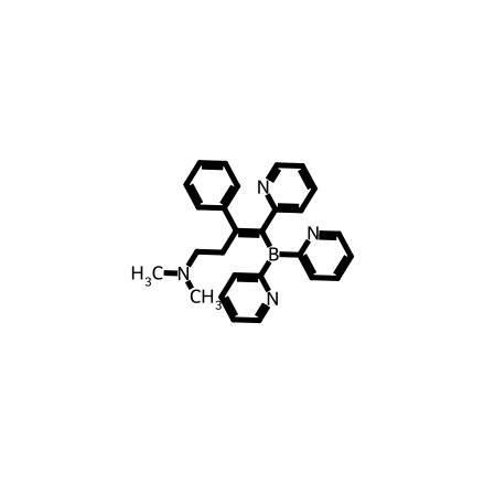 CN(C)CC/C(=C(\B(c1ccccn1)c1ccccn1)c1ccccn1)c1ccccc1